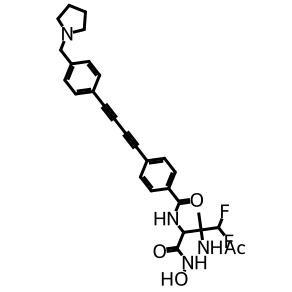 CC(=O)NC(C)(C(F)F)C(NC(=O)c1ccc(C#CC#Cc2ccc(CN3CCCC3)cc2)cc1)C(=O)NO